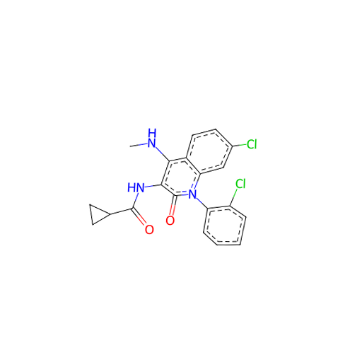 CNc1c(NC(=O)C2CC2)c(=O)n(-c2ccccc2Cl)c2cc(Cl)ccc12